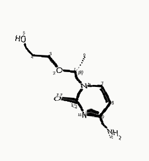 C[C@@H](OCCO)n1ccc(N)nc1=O